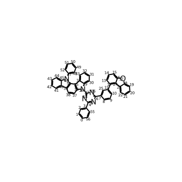 c1ccc(-c2nc(-c3cccc(-c4cccc5oc6ccccc6c45)c3)nc(-n3c4ccccc4c4c3ccc3c5ccccc5n(-c5ccccc5)c34)n2)cc1